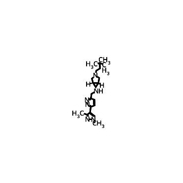 Cc1nn(C)cc1-c1ccc(CN[C@@H]2[C@@H]3CN(CCC(C)(C)C)C[C@@H]32)nn1